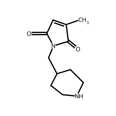 CC1=CC(=O)N(CC2CCNCC2)C1=O